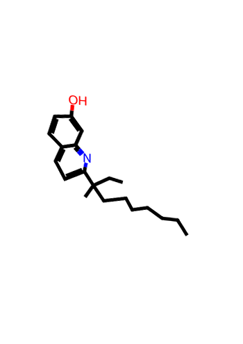 CCCCCCCC(C)(CC)c1ccc2ccc(O)cc2n1